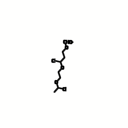 CC(Cl)OCCOC(Cl)CCO[C]=O